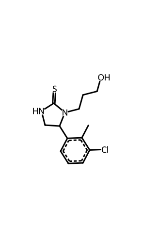 Cc1c(Cl)cccc1C1CNC(=S)N1CCCO